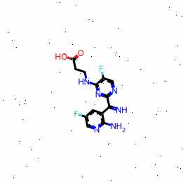 N=C(c1ncc(F)c(NCCC(=O)O)n1)c1cc(F)cnc1N